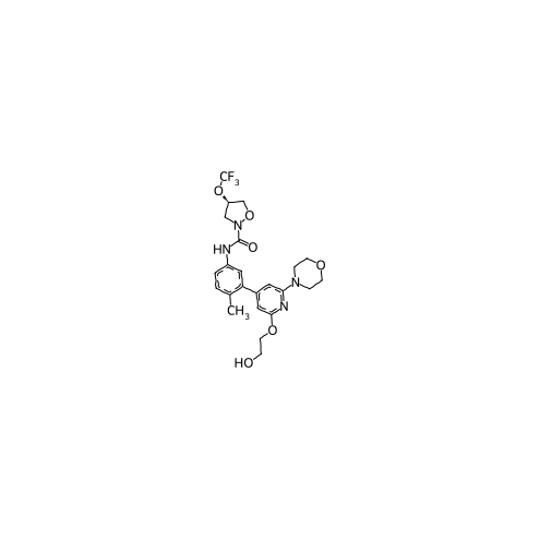 Cc1ccc(NC(=O)N2C[C@@H](OC(F)(F)F)CO2)cc1-c1cc(OCCO)nc(N2CCOCC2)c1